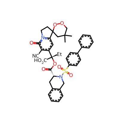 CC[C@@](OC(=O)[C@H]1Cc2ccccc2CN1S(=O)(=O)c1ccc(-c2ccccc2)cc1)(C(=O)O)c1cc2n(c(=O)c1C#N)CCC21CC(C)(C)COO1